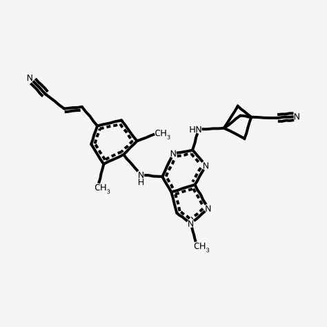 Cc1cc(/C=C/C#N)cc(C)c1Nc1nc(NC23CC(C#N)(C2)C3)nc2nn(C)cc12